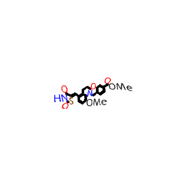 COC(=O)c1ccc(CN2C(=O)CCc3c(C=C4SC(=O)NC4=O)ccc(OC)c32)cc1